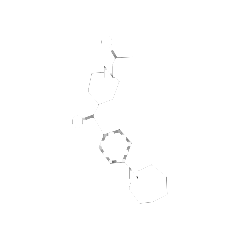 CC(=O)N1CCC(C(=O)c2ccc(N3CCCCCC3)cc2)CC1